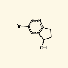 OC1CCc2ncc(Br)cc21